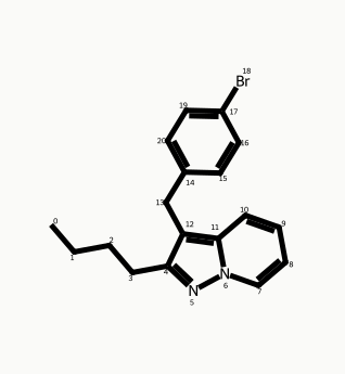 CCCCc1nn2ccccc2c1Cc1ccc(Br)cc1